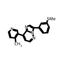 CSc1cccc(-c2cnc3c(-c4cnccc4C)ccnn23)c1